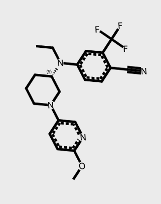 CCN(c1ccc(C#N)c(C(F)(F)F)c1)[C@H]1CCCN(c2ccc(OC)nc2)C1